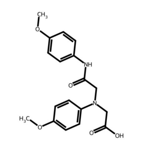 COc1ccc(NC(=O)CN(CC(=O)O)c2ccc(OC)cc2)cc1